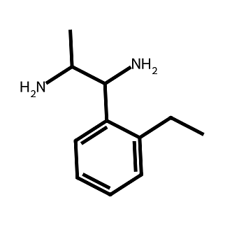 CCc1ccccc1C(N)C(C)N